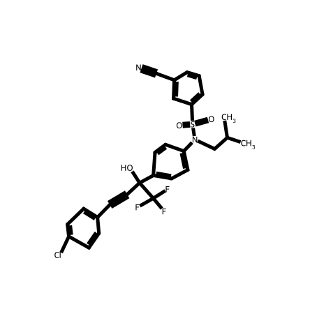 CC(C)CN(c1ccc(C(O)(C#Cc2ccc(Cl)cc2)C(F)(F)F)cc1)S(=O)(=O)c1cccc(C#N)c1